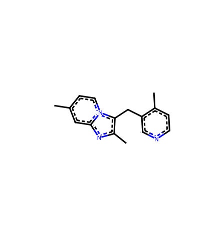 Cc1ccn2c(Cc3[c]nccc3C)c(C)nc2c1